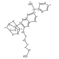 COCCOCOc1cc2ccc(C(O)c3ccccc3)cc2cc1C12CC3CC(CC(C3)C1)C2